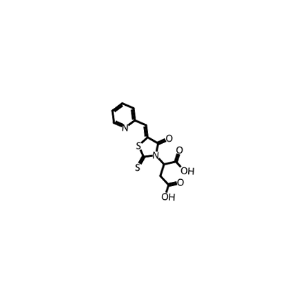 O=C(O)CC(C(=O)O)N1C(=O)C(=Cc2ccccn2)SC1=S